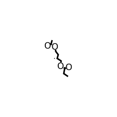 CCC(=O)OC[CH]CCOC(C)=O